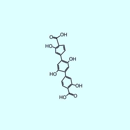 O=C(O)c1ccc(-c2cc(O)c(-c3ccc(C(=O)O)c(O)c3)cc2O)cc1O